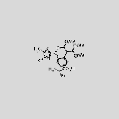 CC(C)[C@H](N)C(=O)O.COC(=O)C(c1ccccc1Oc1nc(Cl)c(C(F)(F)F)s1)C(OC)OC